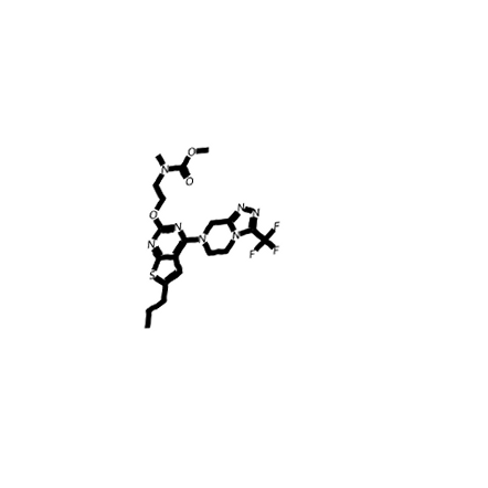 CCCc1cc2c(N3CCn4c(nnc4C(F)(F)F)C3)nc(OCCN(C)C(=O)OC)nc2s1